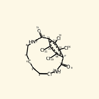 O=C1NCCCCCCNC(=O)c2c(Cl)c(Cl)c1c(Cl)c2Cl